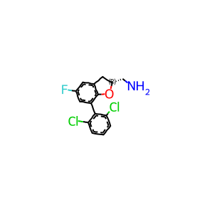 NC[C@H]1Cc2cc(F)cc(-c3c(Cl)cccc3Cl)c2O1